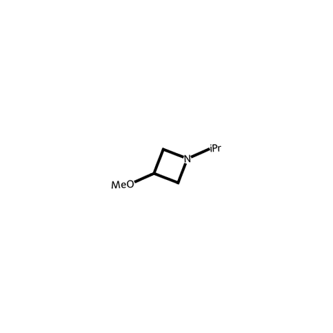 CO[C]1CN(C(C)C)C1